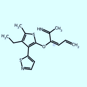 C=C/C=C(/Oc1sc(C)c(CC)c1-c1ccns1)C(C)=N